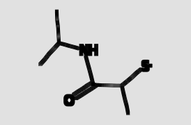 CC(C)NC(=O)C(C)[S]